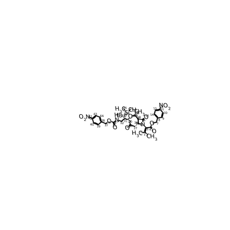 CC(C)=C(C(=O)OCc1ccc([N+](=O)[O-])cc1)N1C(=O)[C@H]([C@@H](C)O[Si](C)(C)C(C)(C)C)[C@H]1CC(=O)SCCNC(=O)OCc1ccc([N+](=O)[O-])cc1